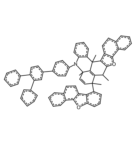 CC1C2=C3C(C)(c4ccccc4N(c4ccc(-c5ccc(-c6ccccc6)c(-c6ccccc6)c5)cc4)C3(C)C=CC2(C)c2cccc3oc4c5ccccc5ccc4c23)c2c1oc1c2ccc2ccccc21